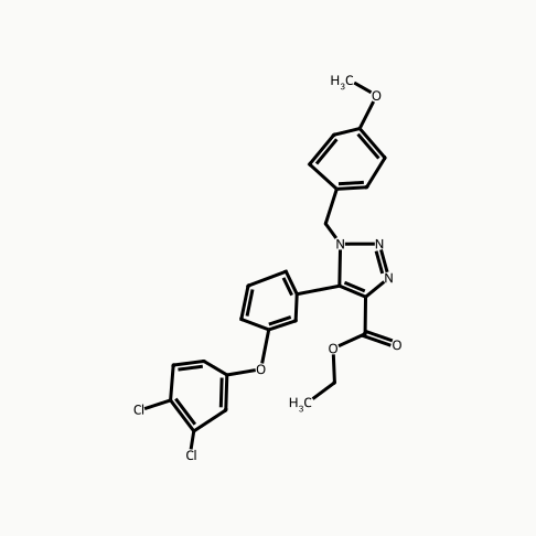 CCOC(=O)c1nnn(Cc2ccc(OC)cc2)c1-c1cccc(Oc2ccc(Cl)c(Cl)c2)c1